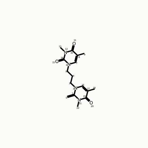 C=C1N(CCCn2cc(C)c(=O)n(C)c2=O)C=C(C)C(=O)N1C